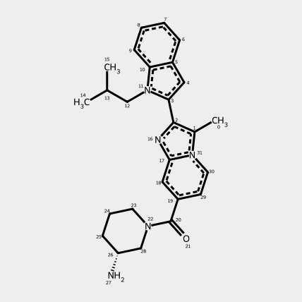 Cc1c(-c2cc3ccccc3n2CC(C)C)nc2cc(C(=O)N3CCC[C@@H](N)C3)ccn12